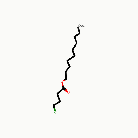 CCCCCCCCCCCCCCCCCCCOC(=O)CCCCl